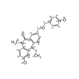 CCN1c2ncc(COCc3cc[n+]([O-])cc3)cc2C(=O)N(C)c2ccc(Cl)nc21